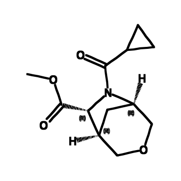 COC(=O)[C@H]1[C@@H]2COC[C@@H](C2)N1C(=O)C1CC1